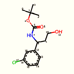 CC(C)(C)OC(=O)NC(CCO)c1cccc(Cl)c1